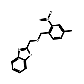 Cc1ccc(COCc2nc3ccccc3o2)c([N+](=O)[O-])c1